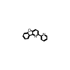 c1ccc(-c2ccc3oc4ccccc4c3n2)nc1